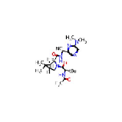 CN(C)c1cncc(C(C#N)NC(=O)[C@@H]2[C@@H]3[C@H](CN2C(=O)C(NC(=O)C(F)(F)F)C(C)(C)C)C3(C)C)n1